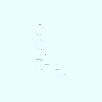 Cc1cnc2c3c(nn2c1)CN(C(=O)c1ccccc1OCCN(C)C)C3